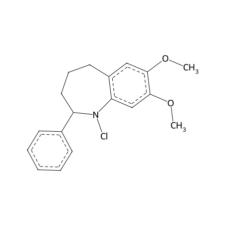 COc1cc2c(cc1OC)N(Cl)C(c1ccccc1)CCC2